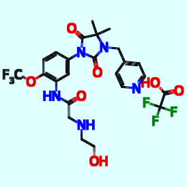 CC1(C)C(=O)N(c2ccc(OC(F)(F)F)c(NC(=O)CNCCO)c2)C(=O)N1Cc1ccncc1.O=C(O)C(F)(F)F